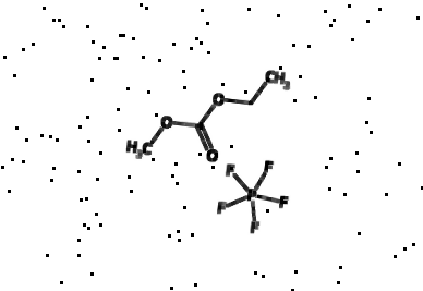 CCOC(=O)OC.FP(F)(F)(F)F